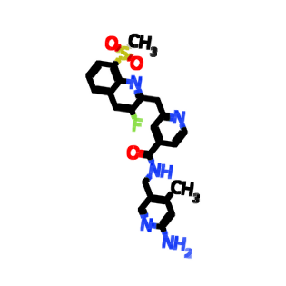 Cc1cc(N)ncc1CNC(=O)c1ccnc(Cc2nc3c(S(C)(=O)=O)cccc3cc2F)c1